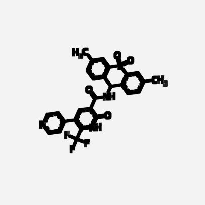 Cc1ccc2c(c1)S(=O)(=O)c1cc(C)ccc1C2NC(=O)c1cc(-c2ccncc2)c(C(F)(F)F)[nH]c1=O